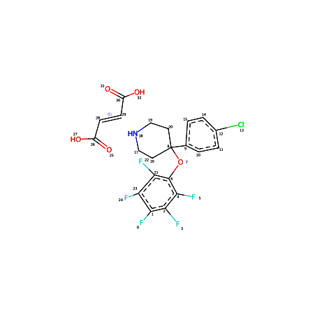 Fc1c(F)c(F)c(OC2(c3ccc(Cl)cc3)CCNCC2)c(F)c1F.O=C(O)/C=C/C(=O)O